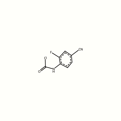 N#Cc1ccc(NC(=O)Cl)c(F)c1